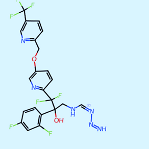 N=N/N=C\NCC(O)(c1ccc(F)cc1F)C(F)(F)c1ccc(OCc2ccc(C(F)(F)F)cn2)cn1